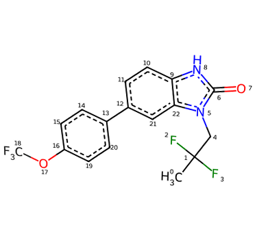 CC(F)(F)Cn1c(=O)[nH]c2ccc(-c3ccc(OC(F)(F)F)cc3)cc21